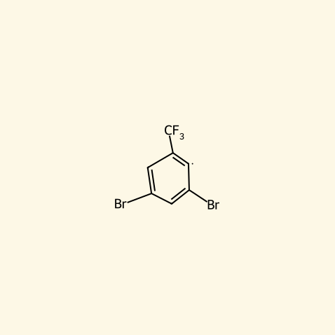 FC(F)(F)c1[c]c(Br)cc(Br)c1